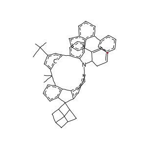 CC(C)(C)c1cc2cc(c1)C(C)(C)c1cccc3c1-c1ccc(cc1C31C3CC4CC5CC1C453)N(C1CC=CC=C1c1cccc3cccc(-c4ccccc4)c13)c1ccccc1-2